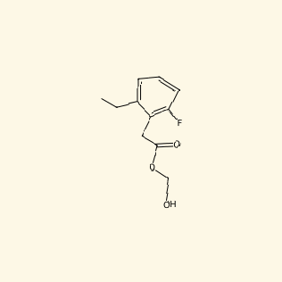 CCc1cccc(F)c1CC(=O)OCO